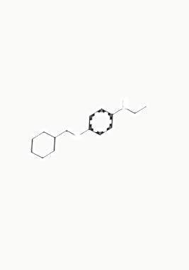 CCNc1ccc(OCC2CCCCC2)cc1